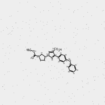 CC(C)(C)OC(=O)N1CC[C@H](n2cc(C(=O)O)c(-c3ccc(Oc4ccccc4)cc3)n2)C1